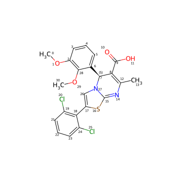 COc1cccc([C@H]2C(C(=O)O)=C(C)N=C3SC(c4c(Cl)cccc4Cl)=CN32)c1OC